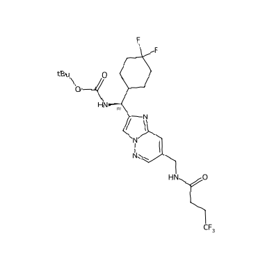 CC(C)(C)OC(=O)N[C@H](c1cn2ncc(CNC(=O)CCC(F)(F)F)cc2n1)C1CCC(F)(F)CC1